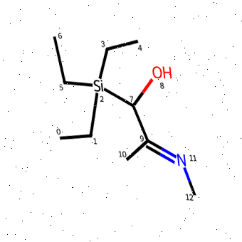 CC[Si](CC)(CC)C(O)C(C)=NC